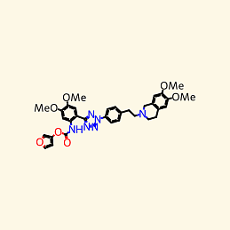 COc1cc2c(cc1OC)CN(CCc1ccc(-n3nnc(-c4cc(OC)c(OC)cc4NC(=O)Oc4ccoc4)n3)cc1)CC2